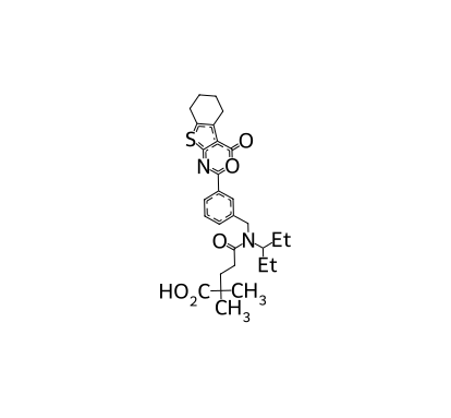 CCC(CC)N(Cc1cccc(-c2nc3sc4c(c3c(=O)o2)CCCC4)c1)C(=O)CCC(C)(C)C(=O)O